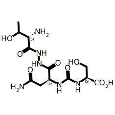 CC(O)[C@H](N)C(=O)NNC(=O)[C@H](CC(N)=O)NC(=O)N[C@@H](CO)C(=O)O